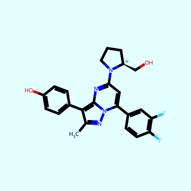 Cc1nn2c(-c3ccc(F)c(F)c3)cc(N3CCC[C@H]3CO)nc2c1-c1ccc(O)cc1